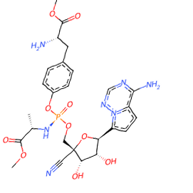 COC(=O)[C@H](C)N[P@@](=O)(OC[C@@]1(C#N)O[C@@H](c2ccc3c(N)ncnn23)[C@H](O)[C@@H]1O)Oc1ccc(C[C@H](N)C(=O)OC)cc1